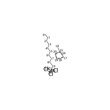 CCCCCCCCCC[Si](Cl)(Cl)Cl.Cc1ccccc1